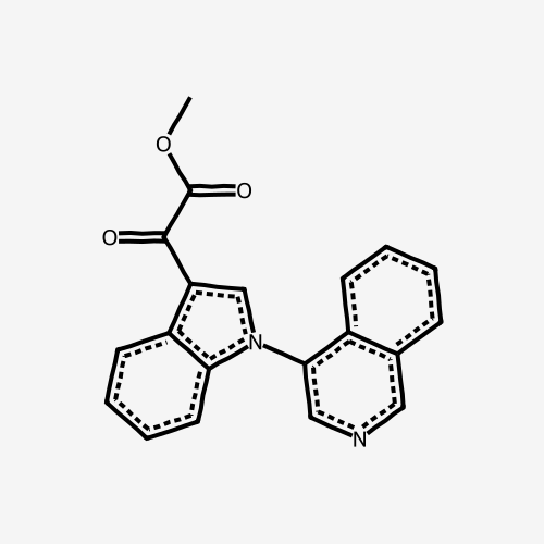 COC(=O)C(=O)c1cn(-c2cncc3ccccc23)c2ccccc12